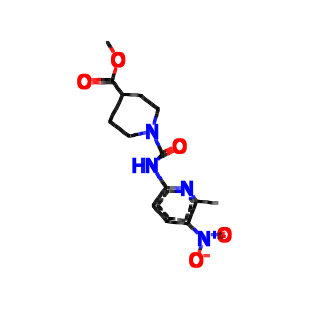 COC(=O)C1CCN(C(=O)Nc2ccc([N+](=O)[O-])c(C)n2)CC1